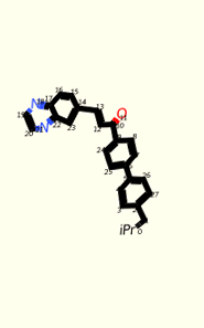 CC(C)Cc1ccc(-c2ccc(C(=O)C=Cc3ccc4nccnc4c3)cc2)cc1